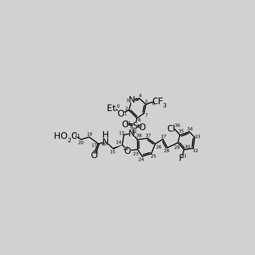 CCOc1ncc(C(F)(F)F)cc1S(=O)(=O)N1C[C@H](CNC(=O)CCC(=O)O)Oc2ccc(/C=C/c3c(F)cccc3Cl)cc21